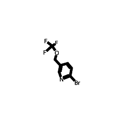 FC(F)(F)OCc1ccc(Br)nc1